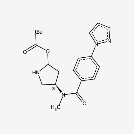 CN(C(=O)c1ccc(-n2cccn2)cc1)[C@H]1CNC(OC(=O)C(C)(C)C)C1